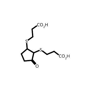 O=C(O)CCSC1CCC(=O)C1SCCC(=O)O